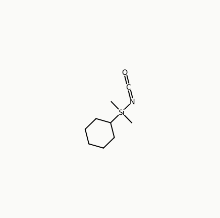 C[Si](C)(N=C=O)C1CCCCC1